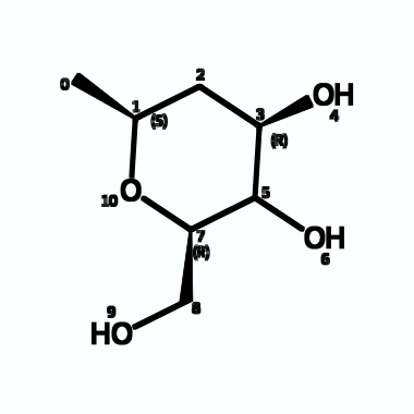 C[C@H]1C[C@@H](O)C(O)[C@@H](CO)O1